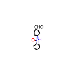 I.O=Cc1ccc(NC(=O)c2ccccc2)cc1